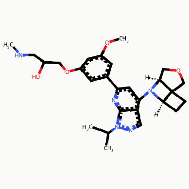 CNCC(O)COc1cc(OC)cc(-c2cc(N3[C@H]4COCC45CC[C@@H]35)c3cnn(C(C)C)c3n2)c1